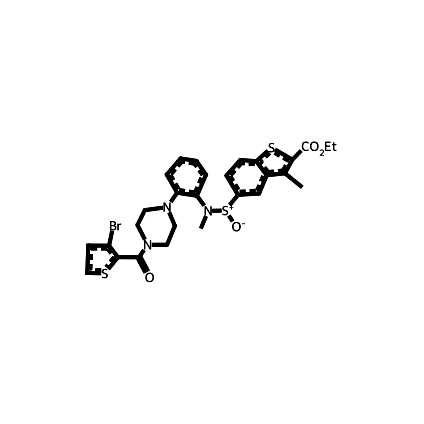 CCOC(=O)c1sc2ccc([S+]([O-])N(C)c3ccccc3N3CCN(C(=O)c4sccc4Br)CC3)cc2c1C